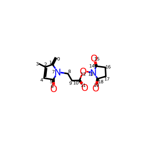 C=C1C(C)=CC(=O)N1CCC(=O)ON1C(=O)CCC1=O